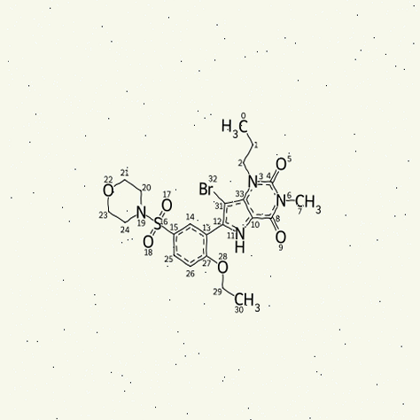 CCCn1c(=O)n(C)c(=O)c2[nH]c(-c3cc(S(=O)(=O)N4CCOCC4)ccc3OCC)c(Br)c21